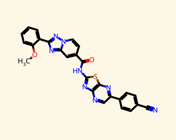 COc1ccccc1-c1nc2cc(C(=O)Nc3nc4ncc(-c5ccc(C#N)cc5)nc4s3)ccn2n1